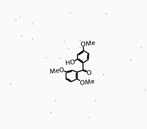 COc1ccc(C(=O)c2cc(OC)ccc2OC)c(O)c1